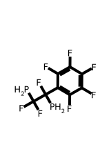 Fc1c(F)c(F)c(C(F)(P)C(F)(F)P)c(F)c1F